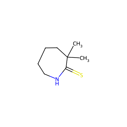 CC1(C)CCCCNC1=S